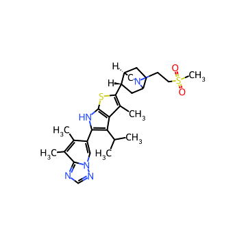 Cc1c(-c2[nH]c3sc([C@H]4CC5CC[C@H]4CN5CCS(C)(=O)=O)c(C)c3c2C(C)C)cn2ncnc2c1C